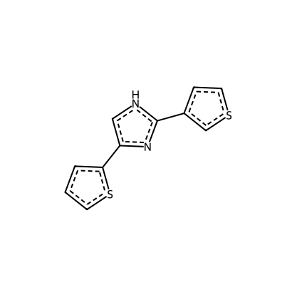 c1csc(-c2c[nH]c(-c3ccsc3)n2)c1